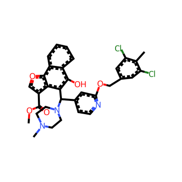 COC(=O)c1coc2c1c(C(c1ccnc(OCc3cc(Cl)c(C)c(Cl)c3)c1)N1CCN(C)CC1)c(O)c1ccccc12